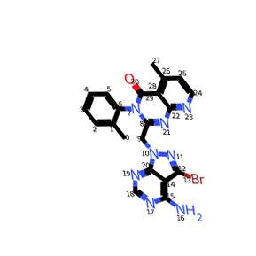 Cc1ccccc1-n1c(Cn2nc(Br)c3c(N)ncnc32)nc2nccc(C)c2c1=O